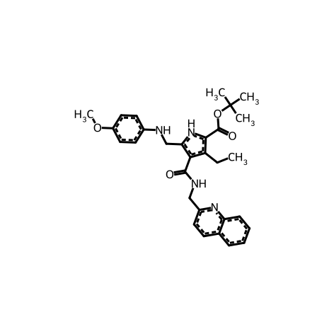 CCc1c(C(=O)OC(C)(C)C)[nH]c(CNc2ccc(OC)cc2)c1C(=O)NCc1ccc2ccccc2n1